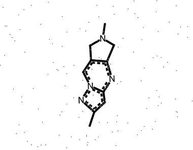 Cc1cc2nc3c(cn2n1)CN(C)C3